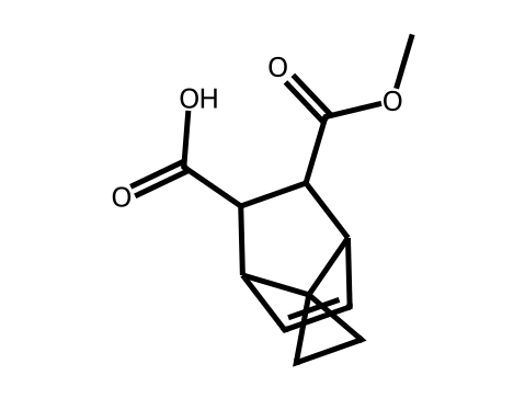 COC(=O)C1C(C(=O)O)C2C=CC1C21CC1